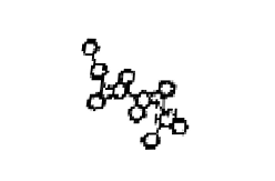 c1ccc(-c2ccc(-n3c4ccccc4c4cc(-c5cc6c7ccccc7n(-c7nc(-c8ccccc8)c8ccccc8n7)c6c6ccccc56)c5ccccc5c43)cc2)cc1